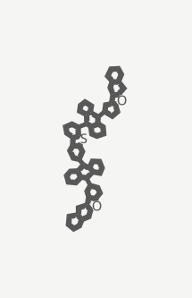 c1ccc2cc3c(cc2c1)oc1ccc(-c2c4ccccc4c(-c4ccc5c(c4)sc4c(-c6c7ccccc7c(-c7ccc8oc9cc%10ccccc%10cc9c8c7)c7ccccc67)cccc45)c4ccccc24)cc13